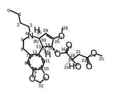 CCCCN1CCc2cc3c(cc2[C@@H]2[C@H](OC(=O)[C@](C)(O)CC(=O)OC)C(OC)=C[C@@H]21)OCO3